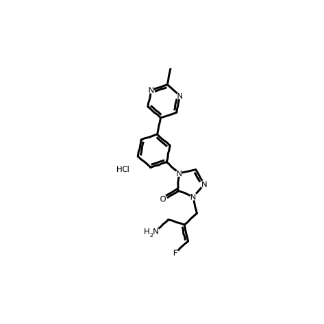 Cc1ncc(-c2cccc(-n3cnn(C/C(=C/F)CN)c3=O)c2)cn1.Cl